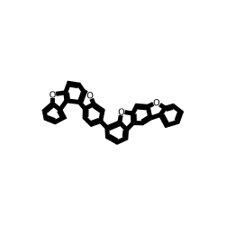 c1ccc2c(c1)oc1cc3oc4c(-c5ccc6c(c5)oc5ccc7oc8ccccc8c7c56)cccc4c3cc12